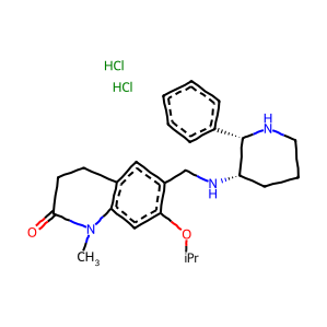 CC(C)Oc1cc2c(cc1CN[C@H]1CCCN[C@H]1c1ccccc1)CCC(=O)N2C.Cl.Cl